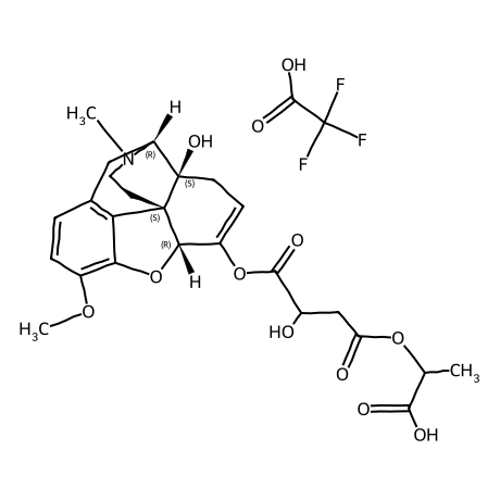 COc1ccc2c3c1O[C@H]1C(OC(=O)C(O)CC(=O)OC(C)C(=O)O)=CC[C@@]4(O)[C@@H](C2)N(C)CC[C@]314.O=C(O)C(F)(F)F